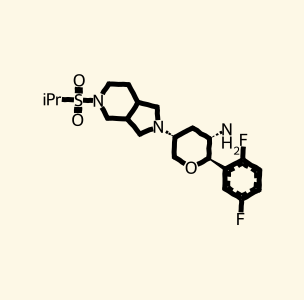 CC(C)S(=O)(=O)N1CCC2CN([C@H]3CO[C@H](c4cc(F)ccc4F)[C@@H](N)C3)CC2C1